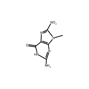 Cn1c([N+](=O)[O-])nc2c(=O)[nH]c(N)nc21